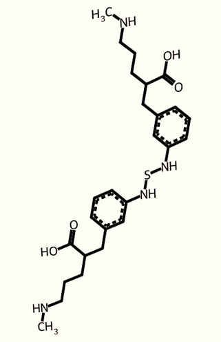 CNCCCC(Cc1cccc(NSNc2cccc(CC(CCCNC)C(=O)O)c2)c1)C(=O)O